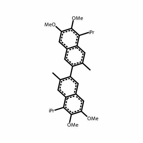 COc1cc2cc(-c3cc4cc(OC)c(OC)c(C(C)C)c4cc3C)c(C)cc2c(C(C)C)c1OC